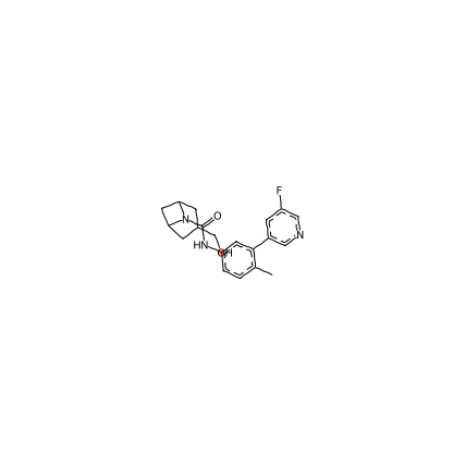 Cc1ccc(NC(=O)N2C3CC(CO)CC2C3)cc1-c1cncc(F)c1